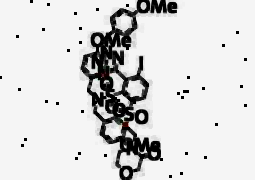 COc1ccc(CN(Cc2ccc(OC)cc2)S(=O)(=O)c2c(S(=O)(=O)CCN3CCOCC3=O)ccc(I)c2-c2nnn(Cc3ccc(OC)cc3)n2)cc1